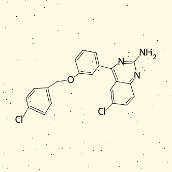 Nc1nc(-c2cccc(OCc3ccc(Cl)cc3)c2)c2cc(Cl)ccc2n1